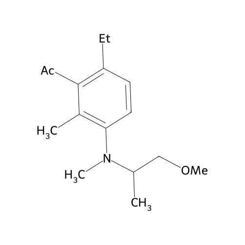 CCc1ccc(N(C)C(C)COC)c(C)c1C(C)=O